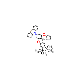 CC1(C)CC(C)(C)c2cc3c(cc21)Oc1cc(N2c4ccccc4Sc4ccccc42)cc2c1B3c1ccccc1O2